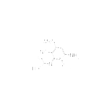 CNc1cc(N)n(C)/c(=N/C(C)Cl)c1C#N